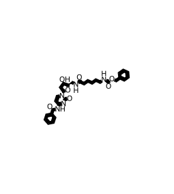 O=C(CCCCCNC(=O)OCc1ccccc1)NC[C@H]1O[C@@H](n2ccc(NC(=O)c3ccccc3)nc2=O)C[C@@H]1O